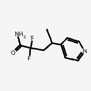 CC(CC(F)(F)C(N)=O)c1ccncc1